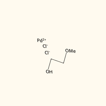 COCCO.[Cl-].[Cl-].[Pd+2]